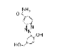 NC(=O)c1ccc2nn(-c3cc(CO)ccc3O)nc2c1